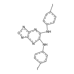 Ic1ccc(Nc2nc3nonc3nc2Nc2ccc(I)cc2)cc1